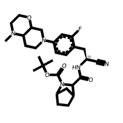 CN1CCOC2CN(c3ccc(C[C@@H](C#N)NC(=O)C4C5CCC(C5)N4C(=O)OC(C)(C)C)c(F)c3)CCC21